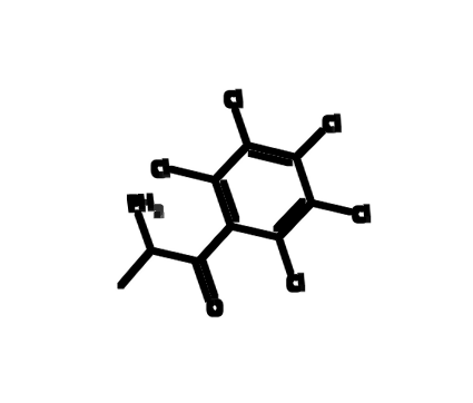 CC(P)C(=O)c1c(Cl)c(Cl)c(Cl)c(Cl)c1Cl